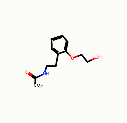 CNC(=O)NCCc1ccccc1OCCO